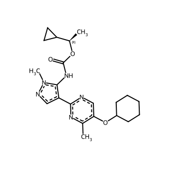 Cc1nc(-c2cnn(C)c2NC(=O)O[C@H](C)C2CC2)ncc1OC1CCCCC1